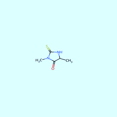 CC1NC(=S)N(C)C1=O